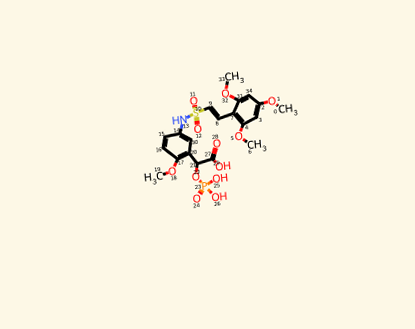 COc1cc(OC)c(C=CS(=O)(=O)Nc2ccc(OC)c(C(OP(=O)(O)O)C(=O)O)c2)c(OC)c1